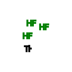 F.F.F.[Tl]